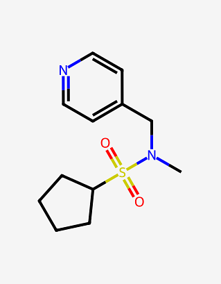 CN(Cc1ccncc1)S(=O)(=O)C1CCCC1